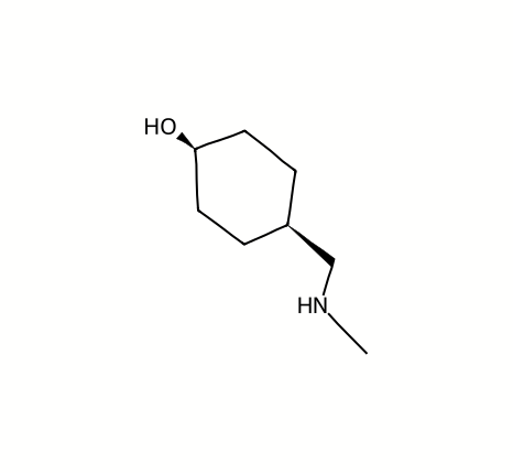 CNC[C@H]1CC[C@@H](O)CC1